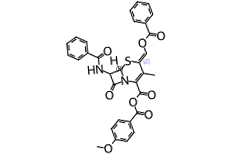 COc1ccc(C(=O)OC(=O)C2=C(C)/C(=C/OC(=O)c3ccccc3)S[C@@H]3C(NC(=O)c4ccccc4)C(=O)N23)cc1